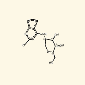 OC[C@H]1OC[C@H](Nc2nc(Cl)nn3cccc23)[C@@H](O)[C@H]1O